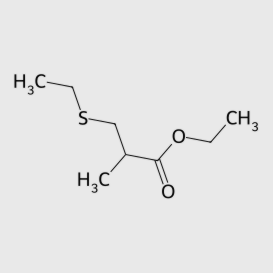 CCOC(=O)C(C)CSCC